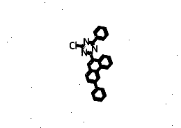 Clc1nc(-c2ccccc2)nc(-c2cc3ccc(-c4ccccc4)cc3c3ccccc23)n1